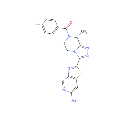 C[C@@H]1c2nnc(-c3nc4cnc(N)cc4s3)n2CCN1C(=O)c1ccc(F)cc1